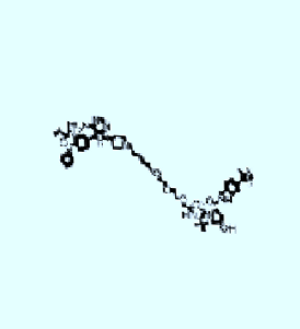 C=CC(=O)Nc1cc(-c2nn(C3CCN(CCCCCCOCCOCCOCC(=O)N[C@H](C(=O)N4C[C@H](O)C[C@H]4C(=O)NCc4ccc(-c5scnc5C)cc4)C(C)(C)C)CC3)c3ncnc(N)c23)ccc1Oc1ccccc1